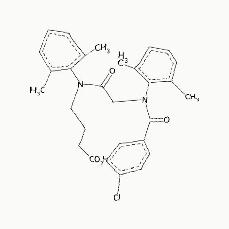 Cc1cccc(C)c1N(CCCC(=O)O)C(=O)CN(C(=O)c1ccc(Cl)cc1)c1c(C)cccc1C